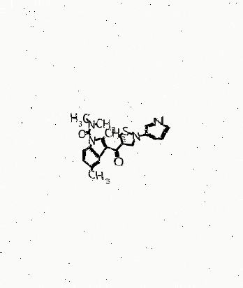 Cc1ccc2c(c1)c(C(=O)C1CSN(c3cccnc3)C1)c(C)n2C(=O)N(C)C